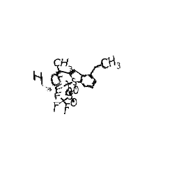 CCc1cccc2c1C=C(C(C)C)S2(OS(=O)(=O)C(F)(F)F)C(F)(F)F